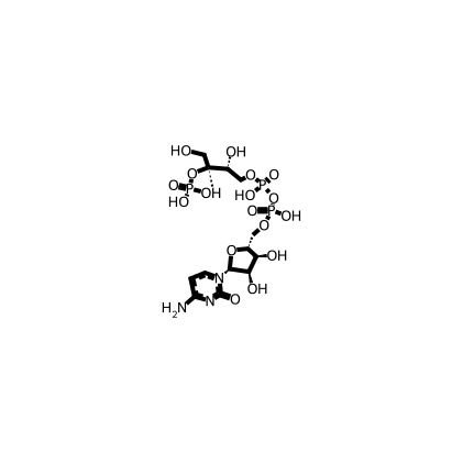 C[C@@](CO)(OP(=O)(O)O)[C@H](O)COP(=O)(O)OP(=O)(O)OC[C@H]1O[C@@H](n2ccc(N)nc2=O)[C@H](O)[C@@H]1O